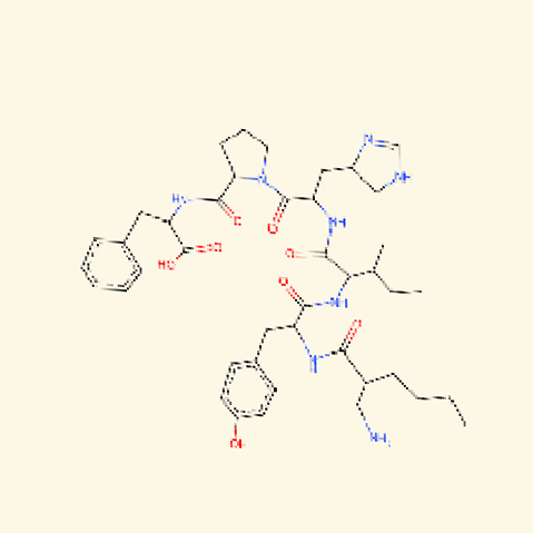 CCCCC(CN)C(=O)NC(Cc1ccc(O)cc1)C(=O)NC(C(=O)NC(CC1CNC=N1)C(=O)N1CCCC1C(=O)NC(Cc1ccccc1)C(=O)O)C(C)CC